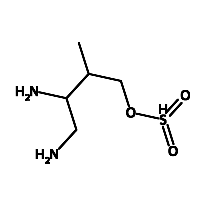 CC(CO[SH](=O)=O)C(N)CN